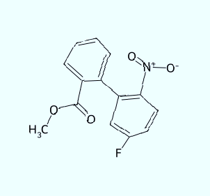 COC(=O)c1ccccc1-c1cc(F)ccc1[N+](=O)[O-]